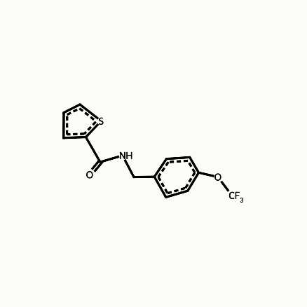 O=C(NCc1ccc(OC(F)(F)F)cc1)c1cccs1